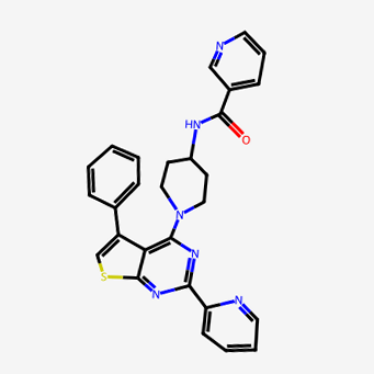 O=C(NC1CCN(c2nc(-c3ccccn3)nc3scc(-c4ccccc4)c23)CC1)c1cccnc1